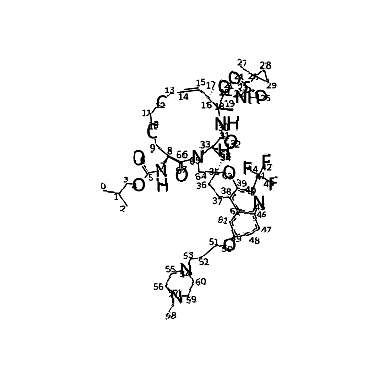 CC(C)COC(=O)N[C@H]1CCCCC/C=C\[C@H](C)[C@](C)(C(=O)NS(=O)(=O)C2(C)CC2)NC(=O)[C@@H]2C[C@]3(CCc4c(c(C(F)(F)F)nc5ccc(OCCCN6CCN(C)CC6)cc45)O3)CN2C1=O